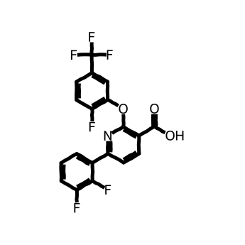 O=C(O)c1ccc(-c2cccc(F)c2F)nc1Oc1cc(C(F)(F)F)ccc1F